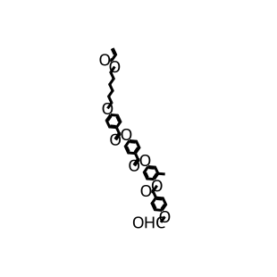 C=CC(=O)OCCCCCCOc1ccc(C(=O)Oc2ccc(C(=O)Oc3ccc(OC(=O)c4ccc(OC=O)cc4)c(C)c3)cc2)cc1